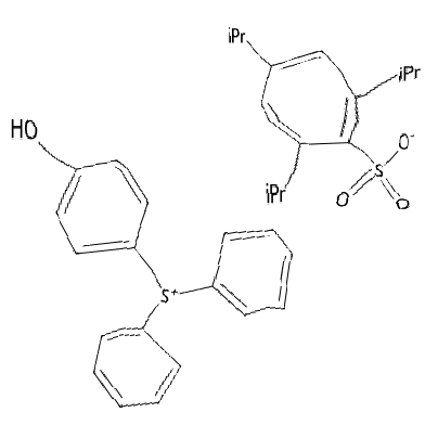 CC(C)c1cc(C(C)C)c(S(=O)(=O)[O-])c(C(C)C)c1.Oc1ccc([S+](c2ccccc2)c2ccccc2)cc1